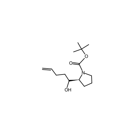 C=CCCC(O)[C@@H]1CCCN1C(=O)OC(C)(C)C